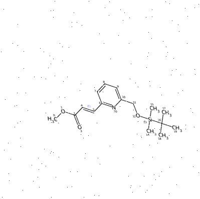 COC(=O)/C=C/c1cccc(CO[Si](C)(C)C(C)(C)C)n1